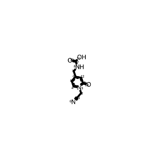 N#CCn1ccc(CNC(=O)O)cc1=O